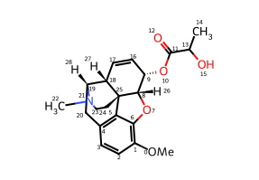 COc1ccc2c3c1O[C@H]1[C@@H](OC(=O)C(C)O)C=C[C@H]4[C@@H](C2)N(C)CC[C@@]341